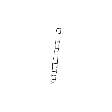 C1CC2C1C1C2C2C1C1C2C2C1C1C2C2C3C4C5C6C7C8CCC8C7C6C5C4C3C12